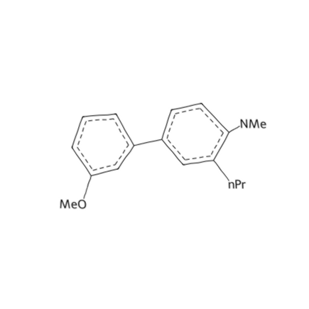 CCCc1cc(-c2cccc(OC)c2)ccc1NC